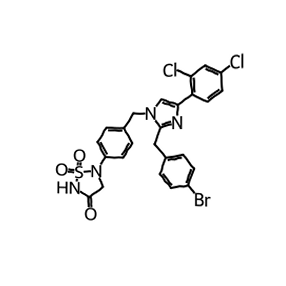 O=C1CN(c2ccc(Cn3cc(-c4ccc(Cl)cc4Cl)nc3Cc3ccc(Br)cc3)cc2)S(=O)(=O)N1